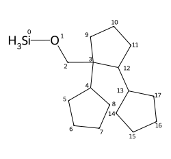 [SiH3]OCC1(C2CCCC2)CCCC1C1CCCC1